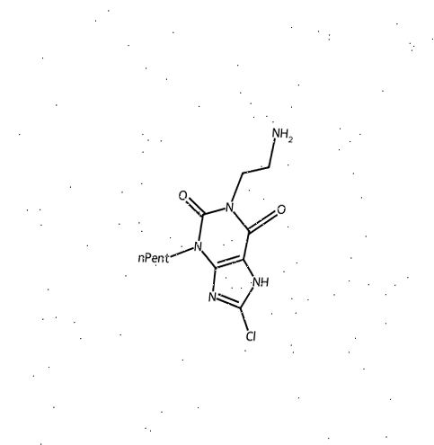 CCCCCn1c(=O)n(CCN)c(=O)c2[nH]c(Cl)nc21